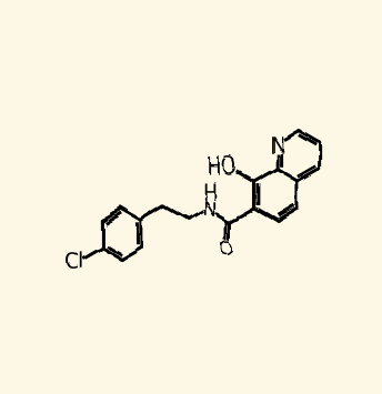 O=C(NCCc1ccc(Cl)cc1)c1ccc2cccnc2c1O